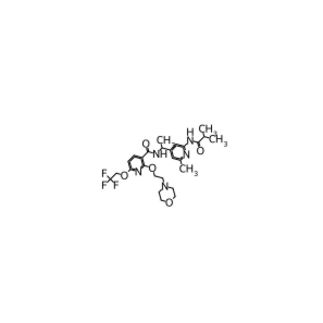 Cc1cc(C(C)NC(=O)c2ccc(OCC(F)(F)F)nc2OCCN2CCOCC2)cc(NC(=O)C(C)C)n1